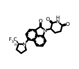 O=C1CCC(N2C(=O)c3ccc(N4CCC[C@H]4C(F)(F)F)c4cccc2c34)C(=O)N1